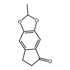 CC1Oc2cc3c(cc2O1)C(=O)CC3